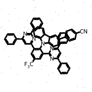 N#Cc1ccc(-c2ccc3c(c2)c2ccccc2n3-c2c(-c3cc(-c4ccccc4)nc(-c4ccccc4)n3)cc(C(F)(F)F)cc2-c2nc(-c3ccccc3)cc(-c3ccccc3)n2)cc1